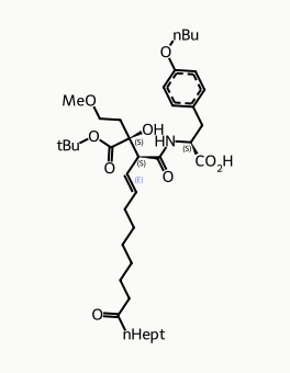 CCCCCCCC(=O)CCCCCC/C=C/[C@H](C(=O)N[C@@H](Cc1ccc(OCCCC)cc1)C(=O)O)[C@@](O)(CCOC)C(=O)OC(C)(C)C